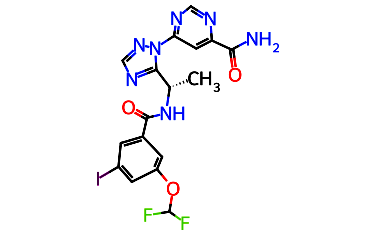 C[C@H](NC(=O)c1cc(I)cc(OC(F)F)c1)c1ncnn1-c1cc(C(N)=O)ncn1